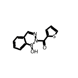 O=C(c1cccs1)N1N=Cc2ccccc2B1O